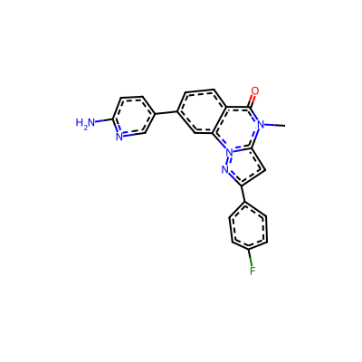 Cn1c(=O)c2ccc(-c3ccc(N)nc3)cc2n2nc(-c3ccc(F)cc3)cc12